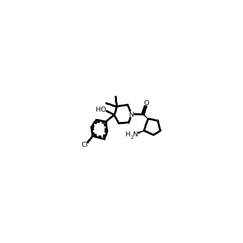 CC1(C)CN(C(=O)[C@H]2CCC[C@H]2N)CCC1(O)c1ccc(Cl)cc1